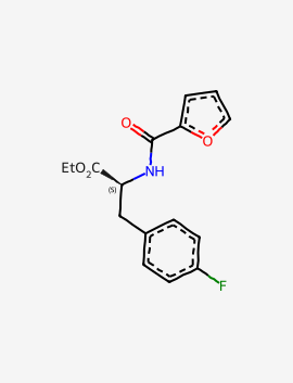 CCOC(=O)[C@H](Cc1ccc(F)cc1)NC(=O)c1ccco1